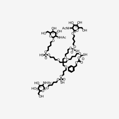 CC(=O)NC1[C@H](OCCCCOP(=O)(S)OCCCOCC(COCCCCOP(=O)(S)OC(=O)OCc2ccccc2)(COCCCOP(=O)(S)OCCCCO[C@@H]2OC(CO)[C@H](O)[C@H](O)C2NC(C)=O)COCCCOP(=O)(S)OCCCCO[C@@H]2OC(CO)[C@H](O)[C@H](O)C2NC(C)=O)OC(CO)[C@@H](O)[C@@H]1O